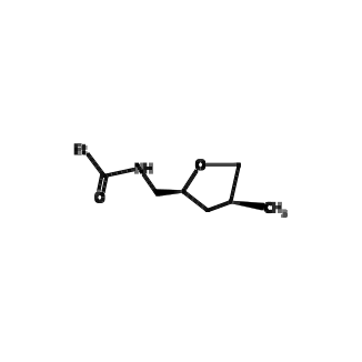 CCC(=O)NC[C@@H]1C[C@H](C)CO1